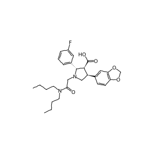 CCCCN(CCCC)C(=O)CN1C[C@H](c2ccc3c(c2)OCO3)[C@H](C(=O)O)[C@H]1c1cccc(F)c1